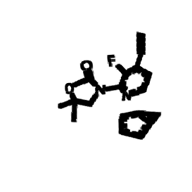 C#Cc1ccnc(N2CC(C)(C)OC2=O)c1F.c1cc2cc-2c1